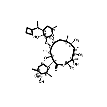 CC[C@H]1OC(=O)[C@H](C)[C@@H](O[C@H]2C[C@@](C)(OC)[C@@H](O)[C@H](C)O2)[C@H](C)[C@@H](O[C@@H]2O[C@H](C)C[C@H](N(C)C3CCC3)[C@H]2O)[C@H](O)C[C@@H](C)[C@H](O)[C@H](C)[C@@H](O)[C@]1(C)O